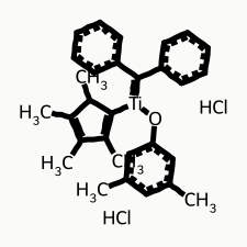 CC1=C(C)C(C)[C]([Ti]([O]c2cc(C)cc(C)c2)=[C](c2ccccc2)c2ccccc2)=C1C.Cl.Cl